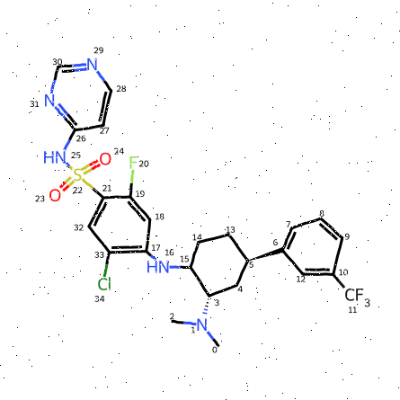 CN(C)[C@H]1C[C@H](c2cccc(C(F)(F)F)c2)CCC1Nc1cc(F)c(S(=O)(=O)Nc2ccncn2)cc1Cl